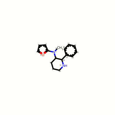 CN(c1ccco1)C1CCCNC1c1ccccc1